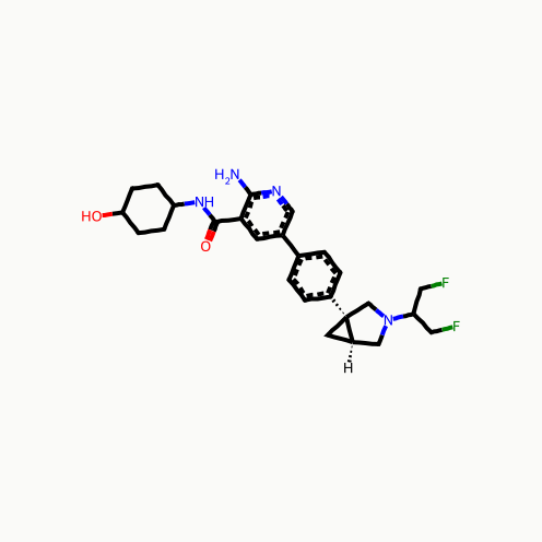 Nc1ncc(-c2ccc([C@@]34C[C@@H]3CN(C(CF)CF)C4)cc2)cc1C(=O)NC1CCC(O)CC1